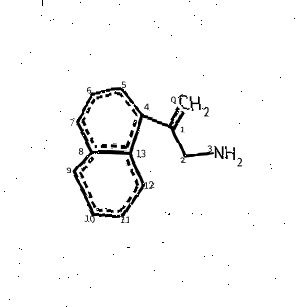 C=C(CN)c1cccc2ccccc12